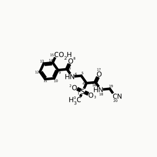 CS(=O)(=O)C(CNC(=O)c1ccccc1C(=O)O)C(=O)NCC#N